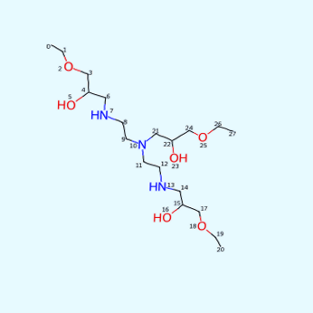 CCOCC(O)CNCCN(CCNCC(O)COCC)CC(O)COCC